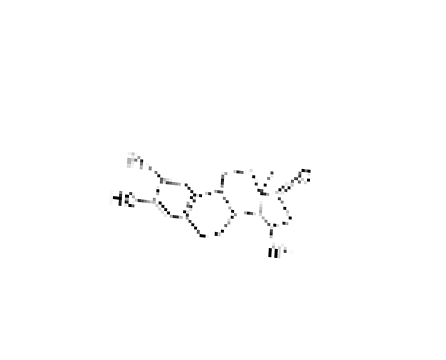 CCCC1CC(=O)C2(C)CCC3c4cc(C(C)C)c(O)cc4CCC3C12